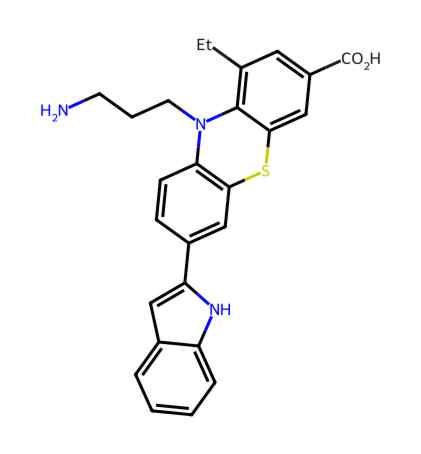 CCc1cc(C(=O)O)cc2c1N(CCCN)c1ccc(-c3cc4ccccc4[nH]3)cc1S2